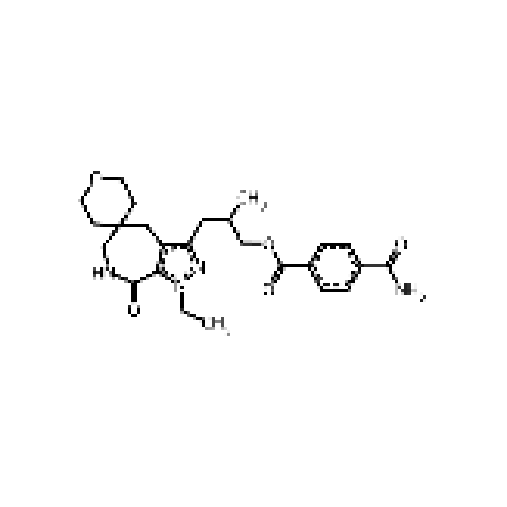 CCn1nc(CC(C)COC(=O)c2ccc(C(N)=O)cc2)c2c1C(=O)NCC1(CCOCC1)C2